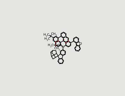 CC(C)(C)c1cc(-c2cccc3cccc(-c4ccccc4N(c4ccc(-c5cccc6oc7ccccc7c56)cc4)c4ccc5c(c4)C4(c6ccccc6-5)C5CC6CC7CC4C75C6)c23)cc(C(C)(C)C)c1